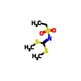 CCS(=O)(=O)N=C(SC)SC